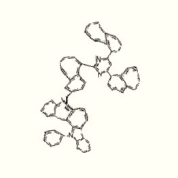 c1ccc(-n2c3ccccc3c3ccc4c(c5ccccc5n4-c4ccc5c(-c6nc(-c7cccc8ccccc78)cc(-c7cccc8ccccc78)n6)cccc5c4)c32)cc1